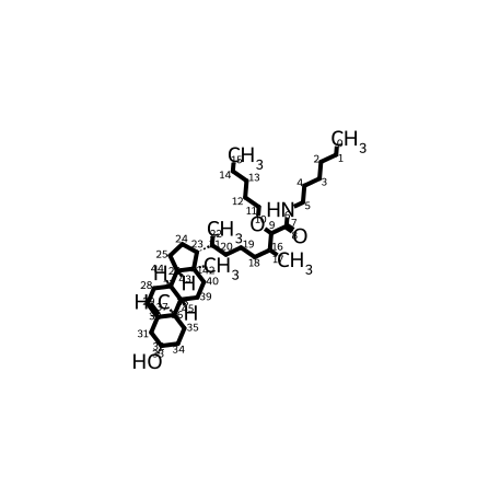 CCCCCCNC(=O)C(OCCCCC)C(C)CCCC(C)[C@H]1CC[C@H]2[C@@H]3CC=C4C[C@@H](O)CC[C@]4(C)[C@H]3CC[C@]12C